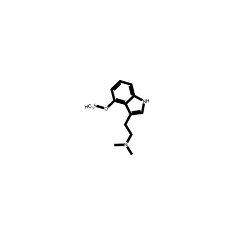 CN(C)CCc1c[nH]c2cccc(OS(=O)(=O)O)c12